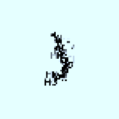 Cn1c(-c2cn(C3CC3)nc2C(F)(F)F)cnc1C(=O)Nc1ccc(C(=O)N2CCN(C(=O)C3CNCC(O)C3)CC2)c(Cl)c1